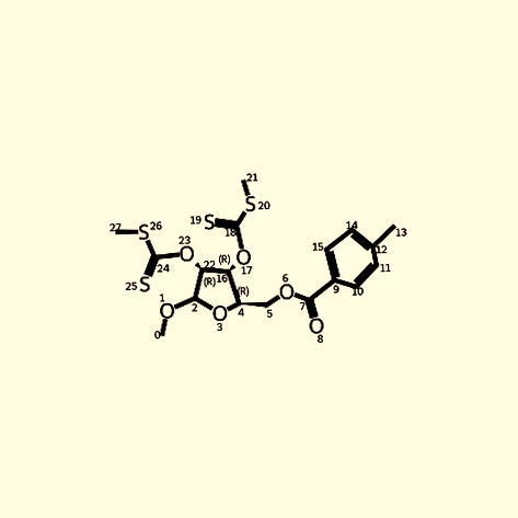 COC1O[C@H](COC(=O)c2ccc(C)cc2)[C@@H](OC(=S)SC)[C@H]1OC(=S)SC